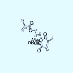 C=C(C)C(=O)OC.C=CC(=O)OCCCC.C=CCOC(=O)C(=C)C